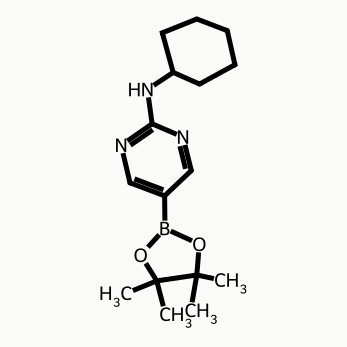 CC1(C)OB(c2cnc(NC3CCCCC3)nc2)OC1(C)C